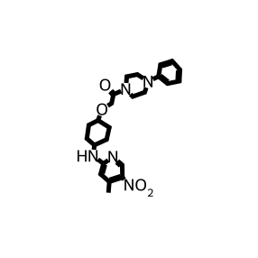 Cc1cc(NC2CCC(OCC(=O)N3CCN(c4ccccc4)CC3)CC2)ncc1[N+](=O)[O-]